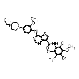 CCN1CCN(c2ccc(Nc3ncnc4c(C(=O)Nc5c(Cl)c(C)c(Br)c(OC)c5Cl)csc34)c(OC)c2)CC1